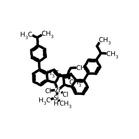 CCC(C)C1=Cc2c(-c3ccc(C(C)C)cc3)cccc2[CH]1[Zr]([Cl])([Cl])([CH]1C(C)=Cc2c(-c3ccc(C(C)CC)cc3)cccc21)[SiH](C)C